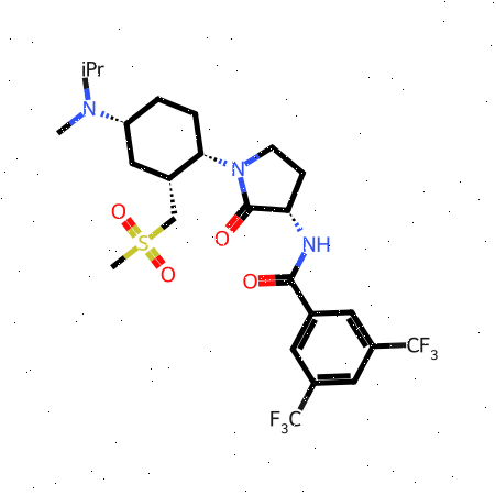 CC(C)N(C)[C@@H]1CC[C@H](N2CC[C@H](NC(=O)c3cc(C(F)(F)F)cc(C(F)(F)F)c3)C2=O)[C@H](CS(C)(=O)=O)C1